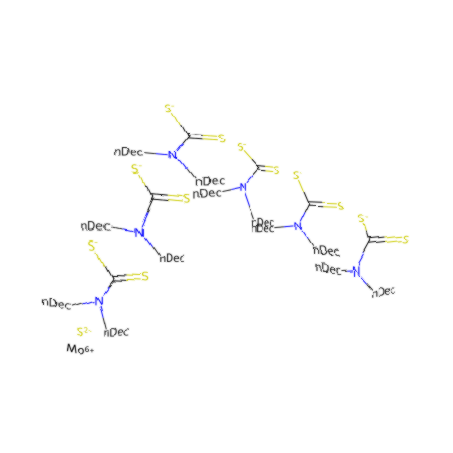 CCCCCCCCCCN(CCCCCCCCCC)C(=S)[S-].CCCCCCCCCCN(CCCCCCCCCC)C(=S)[S-].CCCCCCCCCCN(CCCCCCCCCC)C(=S)[S-].CCCCCCCCCCN(CCCCCCCCCC)C(=S)[S-].CCCCCCCCCCN(CCCCCCCCCC)C(=S)[S-].CCCCCCCCCCN(CCCCCCCCCC)C(=S)[S-].[Mo+6].[S-2]